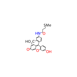 CSCCC(=O)Nc1ccc(-c2c3ccc(=O)cc-3oc3cc(O)ccc23)c(C(=O)O)c1